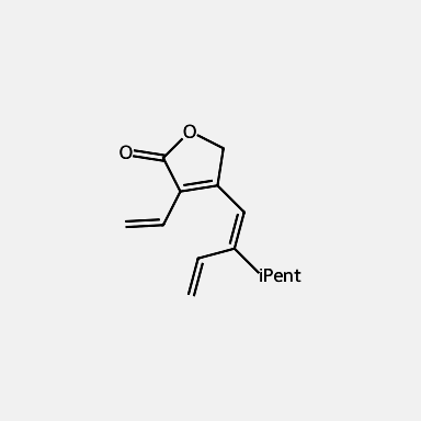 C=CC1=C(/C=C(\C=C)C(C)CCC)COC1=O